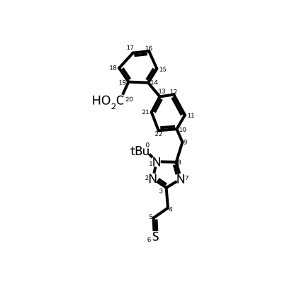 CC(C)(C)n1nc(CC=S)nc1Cc1ccc(-c2ccccc2C(=O)O)cc1